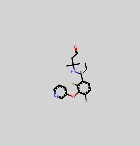 CC[C@@H](NC(C)(C)CC=O)c1ccc(Cl)c(Oc2cccnc2)c1F